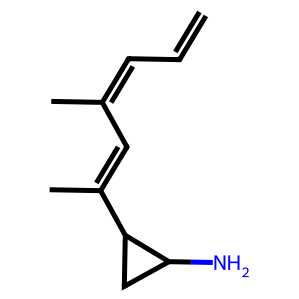 C=C/C=C(C)\C=C(/C)C1CC1N